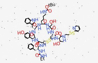 CCNC(=O)N[C@H](Cc1ccccc1)C(=O)N[C@H]1CSSC[C@@H](C(=O)N[C@H](C(=O)NCCSSc2ccccn2)C(C)O)NC(=O)C([C@@H](C)O)NC(=O)[C@H](CCCCNC(=O)OC(C)(C)C)NC(=O)[C@@H](Cc2c[nH]c3ccccc23)NC(=O)[C@H](Cc2ccc(O)cc2)NC1=O